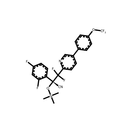 C[Si](C)(C)O[C@](C#N)(c1ccc(F)cc1F)C(F)(F)c1ccc(-c2ccc(OC(F)(F)F)cc2)cn1